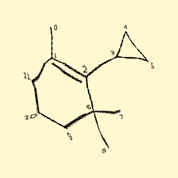 CC1=C(C2CC2)C(C)(C)CCC1